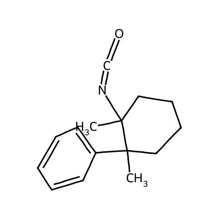 CC1(N=C=O)CCCCC1(C)c1ccccc1